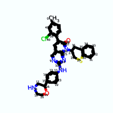 Cc1ccc(-c2cc3cnc(Nc4ccc(C5CNCCO5)cc4)nc3n(C3CSc4ccccc4C3)c2=O)c(Cl)c1